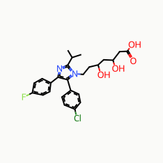 CC(C)c1nc(-c2ccc(F)cc2)c(-c2ccc(Cl)cc2)n1CCC(O)CC(O)CC(=O)O